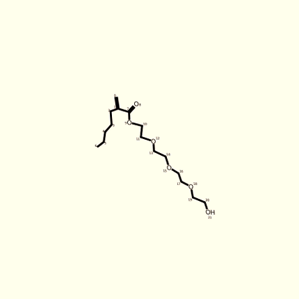 C=C(CCCCC)C(=O)OCCOCCOCCOCCO